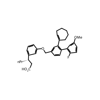 CCC[C@@H](CC(=O)O)c1cccc(OCc2ccc(-c3cc(OC)ccc3F)c(C3=CCCCCC3)c2)c1